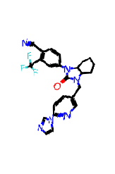 N#Cc1ccc(N2C(=O)N(Cc3ccc(-n4ccnc4)nc3)C3CCCCC32)cc1C(F)(F)F